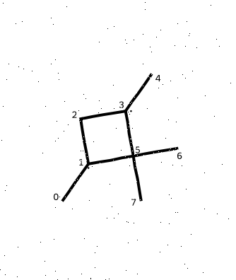 C[C]1C[C](C)C1(C)C